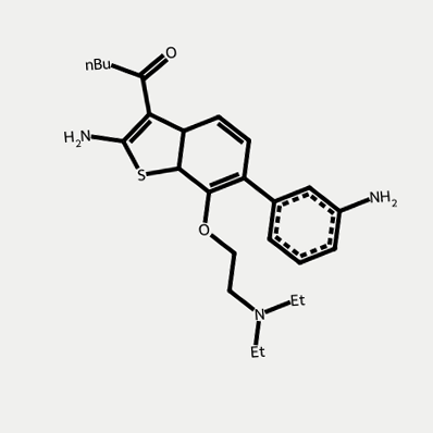 CCCCC(=O)C1=C(N)SC2C(OCCN(CC)CC)=C(c3cccc(N)c3)C=CC12